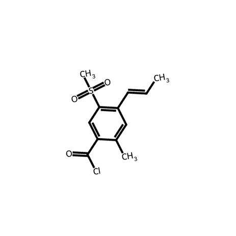 CC=Cc1cc(C)c(C(=O)Cl)cc1S(C)(=O)=O